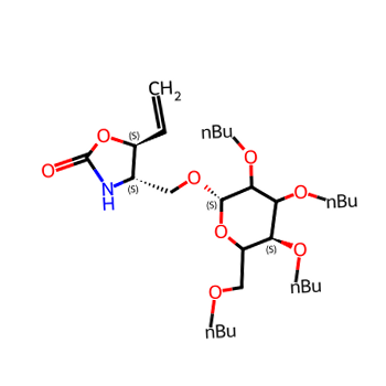 C=C[C@@H]1OC(=O)N[C@H]1CO[C@H]1OC(COCCCC)[C@H](OCCCC)C(OCCCC)C1OCCCC